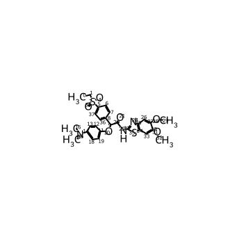 CCS(=O)(=O)c1ccc(C(Oc2ccc(N(C)C)cc2)C(=O)Nc2nc3cc(OC)c(OC)cc3s2)cc1